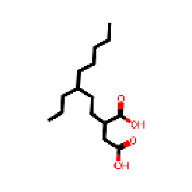 CCCCCC(CCC)CCC(CC(=O)O)C(=O)O